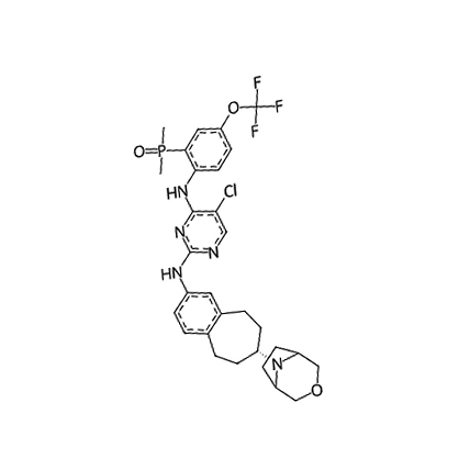 CP(C)(=O)c1cc(OC(F)(F)F)ccc1Nc1nc(Nc2ccc3c(c2)CC[C@H](N2C4CCC2COC4)CC3)ncc1Cl